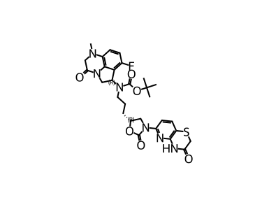 CN1CC(=O)N2C[C@H](N(CCC[C@@H]3CN(c4ccc5c(n4)NC(=O)CS5)C(=O)O3)C(=O)OC(C)(C)C)c3c(F)ccc1c32